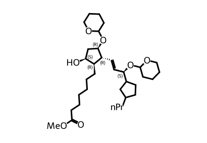 CCCC1CCC([C@@H](C=C[C@@H]2[C@@H](CCCCCCC(=O)OC)[C@@H](O)C[C@H]2OC2CCCCO2)OC2CCCCO2)C1